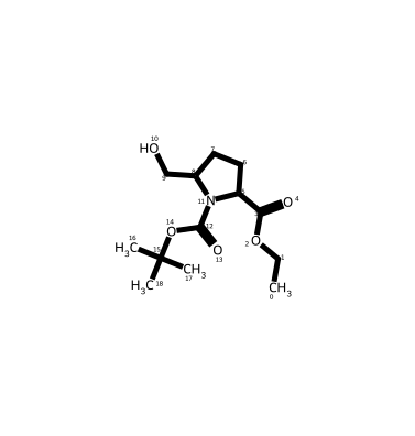 CCOC(=O)C1CCC(CO)N1C(=O)OC(C)(C)C